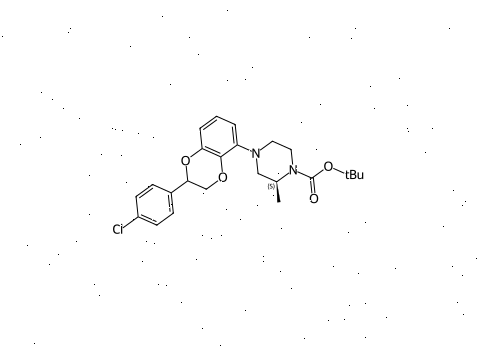 C[C@H]1CN(c2cccc3c2OCC(c2ccc(Cl)cc2)O3)CCN1C(=O)OC(C)(C)C